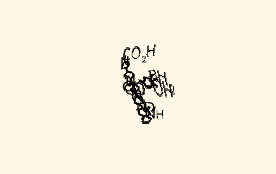 Bc1cc(C[C@@H](OC(=O)N2CCC(N3CCc4ccccc4NC3=O)CC2)C(=O)N2CCC(C3CCN(CC(=O)O)CC3)CC2)ccc1O